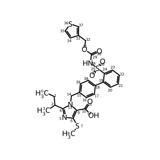 CCC(C)c1nc(SC)c(C(=O)O)n1Cc1ccc(-c2ccccc2S(=O)(=O)NC(=O)OCc2ccsc2)cc1